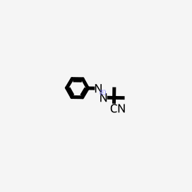 CC(C)(C#N)/N=N/c1ccccc1